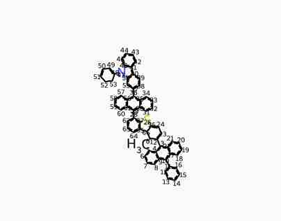 CC1C(c2c3ccccc3c(-c3ccccc3)c3ccccc23)=CC=C2Sc3c(-c4c5ccccc5c(-c5ccc6c7ccccc7n(C7=CC=CCC7)c6c5)c5ccccc45)cccc3C21